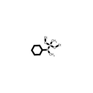 CCO[Si](C)(OCC)N(C)C1CCCCC1